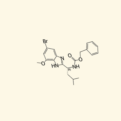 COc1cc(Br)cc2nc([C@@H](CC(C)C)NC(=O)OCc3ccccc3)[nH]c12